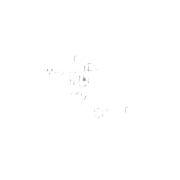 CSCC(=O)Nc1nn(Cc2nc(C(F)(F)F)cs2)c2c1C(=O)N[C@@H](CCc1cccc(OCCCC(C)(F)F)c1)C2